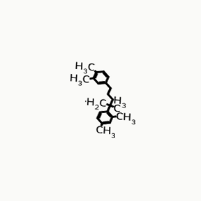 [CH2]C(C)(CCCc1ccc(C)c(C)c1)c1ccc(C)cc1C